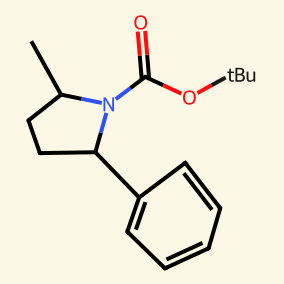 CC1CCC(c2ccccc2)N1C(=O)OC(C)(C)C